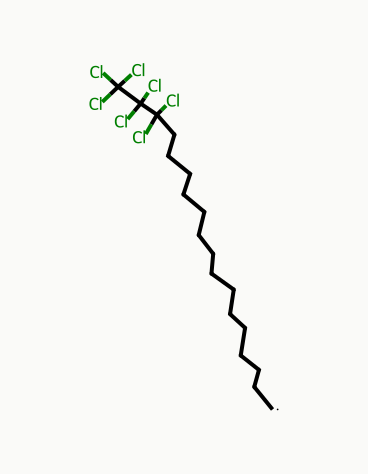 [CH2]CCCCCCCCCCCCCCC(Cl)(Cl)C(Cl)(Cl)C(Cl)(Cl)Cl